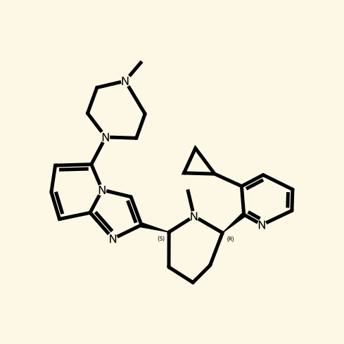 CN1CCN(c2cccc3nc([C@@H]4CCC[C@H](c5ncccc5C5CC5)N4C)cn23)CC1